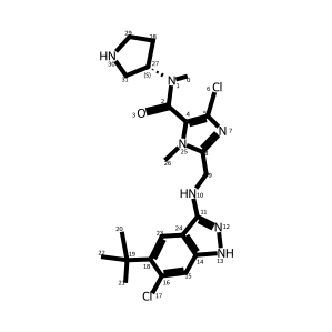 CN(C(=O)c1c(Cl)nc(CNc2n[nH]c3cc(Cl)c(C(C)(C)C)cc23)n1C)[C@H]1CCNC1